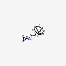 C(CC12CC3CC(CC(C3)C1)C2)NC1CC1